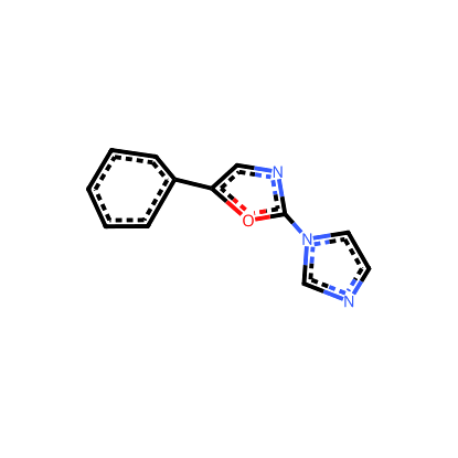 c1ccc(-c2cnc(-n3ccnc3)o2)cc1